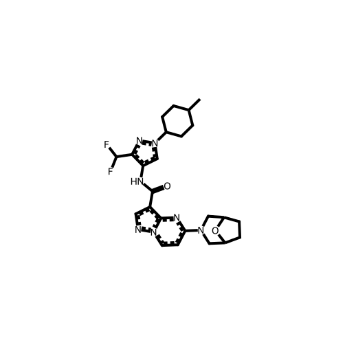 CC1CCC(n2cc(NC(=O)c3cnn4ccc(N5CC6CCC(C5)O6)nc34)c(C(F)F)n2)CC1